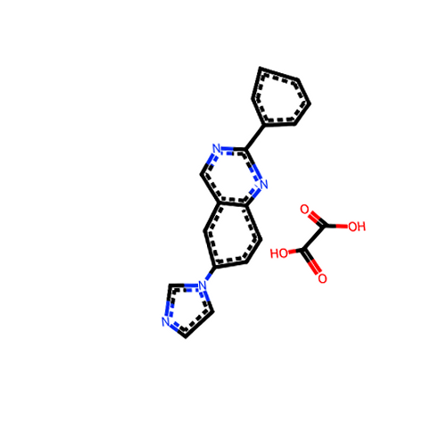 O=C(O)C(=O)O.c1ccc(-c2ncc3cc(-n4ccnc4)ccc3n2)cc1